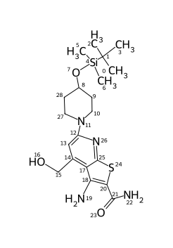 CC(C)(C)[Si](C)(C)OC1CCN(c2cc(CO)c3c(N)c(C(N)=O)sc3n2)CC1